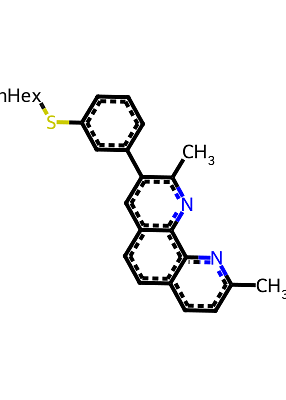 CCCCCCSc1cccc(-c2cc3ccc4ccc(C)nc4c3nc2C)c1